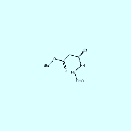 CC[C@H](CC(=O)OC(C)(C)C)NBC=O